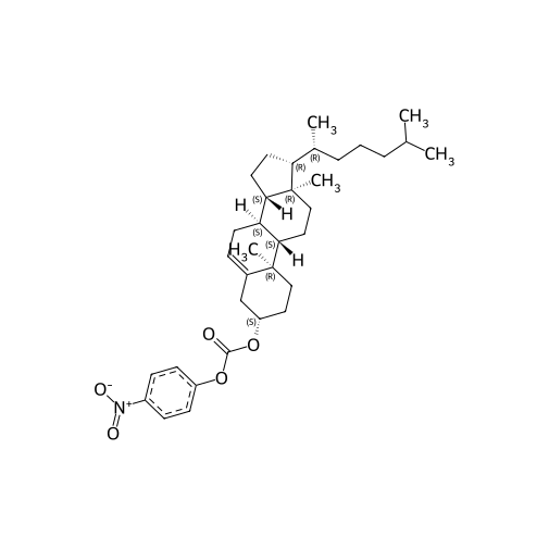 CC(C)CCC[C@@H](C)[C@H]1CC[C@H]2[C@@H]3CC=C4C[C@@H](OC(=O)Oc5ccc([N+](=O)[O-])cc5)CC[C@]4(C)[C@H]3CC[C@]12C